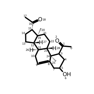 CC(=O)C1CC(O)CC2=CC[C@H]3[C@@H]4CC[C@H](C(C)=O)[C@@]4(C)CC[C@@H]3[C@]21C